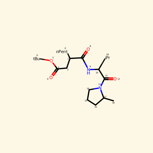 CCCCCC(CC(=O)OC(C)(C)C)C(=O)NC(C(=O)N1CCCC1C)C(C)C